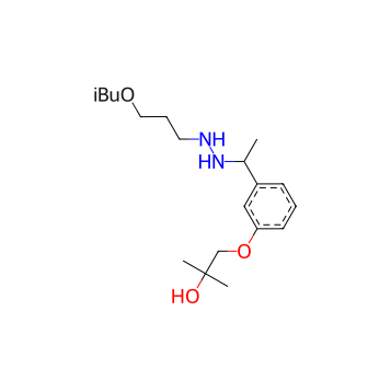 CC(C)COCCCNNC(C)c1cccc(OCC(C)(C)O)c1